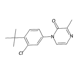 Cc1nccn(-c2ccc(C(C)(C)C)c(Cl)c2)c1=O